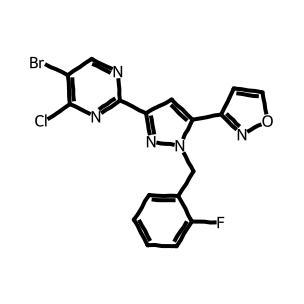 Fc1ccccc1Cn1nc(-c2ncc(Br)c(Cl)n2)cc1-c1ccon1